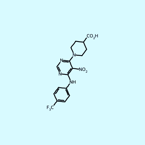 O=C(O)C1CCN(c2ncnc(Nc3ccc(C(F)(F)F)cc3)c2[N+](=O)[O-])CC1